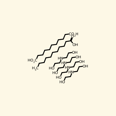 CCCCCCCCCCC(=O)O.O=C(O)CCCCCCCCCC(=O)O.OCCNCCO.OCCNCCO.OCCNCCO.OCCNCCO